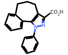 O=C(O)c1nn(-c2ccccc2)c2c1CCCc1ccccc1-2